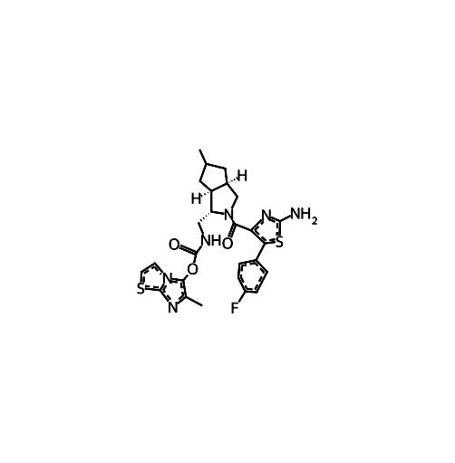 Cc1nc2sccn2c1OC(=O)NC[C@@H]1[C@H]2CC(C)C[C@H]2CN1C(=O)c1nc(N)sc1-c1ccc(F)cc1